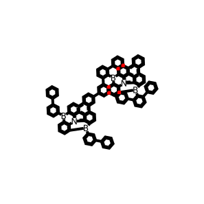 c1ccc(-c2cccc(B3c4cccc5c4-n4c6c3ccc3c7ccc(-c8cccc(-c9cccc(-c%10ccccc%10)c9B9c%10cccc%11c%10-n%10c%12c(ccc%13c%14ccccc%14c%14ccc9c%10c%14c%13%12)B%11c9c(-c%10ccccc%10)cccc9-c9ccccc9)c8)cc7c7ccc(c4c7c36)B5c3cccc(-c4ccccc4)c3)c2)cc1